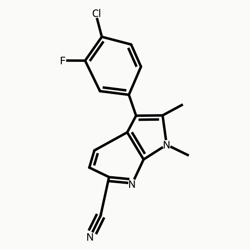 Cc1c(-c2ccc(Cl)c(F)c2)c2ccc(C#N)nc2n1C